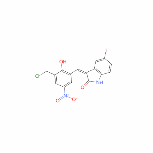 O=C1Nc2ccc(I)cc2C1=Cc1cc([N+](=O)[O-])cc(CCl)c1O